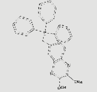 COc1nc2ccc(C[PH](c3ccccc3)(c3ccccc3)c3ccccc3)cc2nc1OC